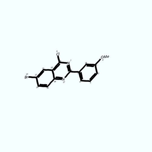 COc1cccc(-c2nc(Cl)c3cc(Br)ccc3n2)c1